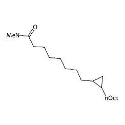 CCCCCCCCC1CC1CCCCCCCC(=O)NC